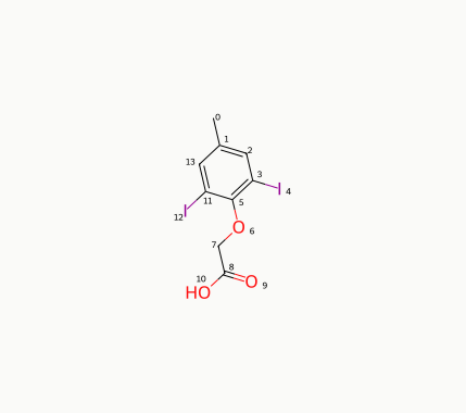 Cc1cc(I)c(OCC(=O)O)c(I)c1